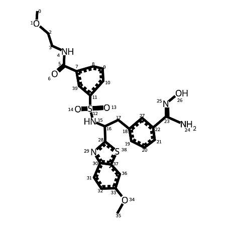 COCCNC(=O)c1cccc(S(=O)(=O)NC(Cc2cccc(C(N)=NO)c2)c2nc3ccc(OC)cc3s2)c1